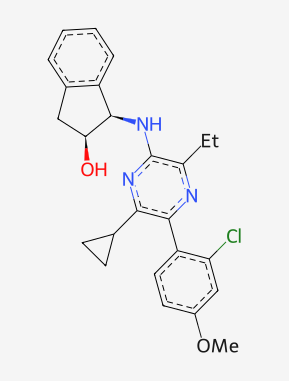 CCc1nc(-c2ccc(OC)cc2Cl)c(C2CC2)nc1N[C@@H]1c2ccccc2C[C@@H]1O